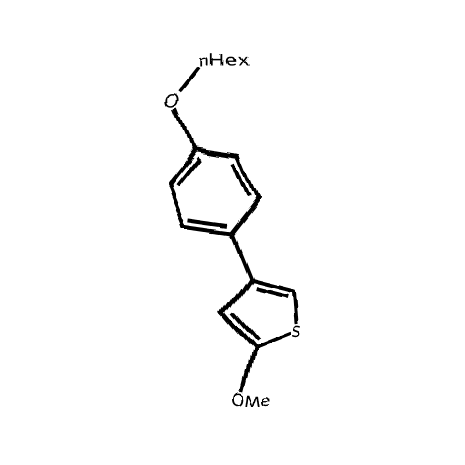 CCCCCCOc1ccc(-c2csc(OC)c2)cc1